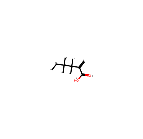 C=C(C(=O)O)C(C)(C)C(C)(C)CC